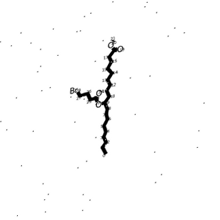 CCCCCCCCCC(CCCCCCCCC(=O)OC)OC(=O)CCCBr